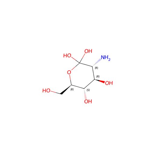 N[C@@H]1[C@@H](O)[C@H](O)[C@@H](CO)OC1(O)O